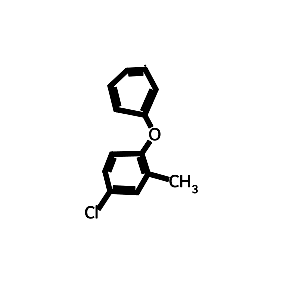 Cc1cc(Cl)ccc1Oc1c[c]ccc1